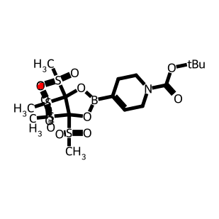 CC(C)(C)OC(=O)N1CC=C(B2OC(S(C)(=O)=O)(S(C)(=O)=O)C(S(C)(=O)=O)(S(C)(=O)=O)O2)CC1